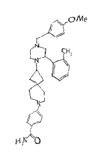 COc1ccc(CN2CCN(C3CC4(CCN(c5ccc(C(N)=O)cc5)CC4)C3)C(c3ccccc3C)C2)cc1